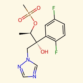 C[C@@H](OS(C)(=O)=O)[C@](O)(Cn1cncn1)c1cc(F)ccc1F